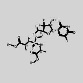 CC(C)OC(=O)[C@H](C)NP(=S)(N[C@@H](C)C(=O)OC(C)C)OC[C@@]1(C(F)F)O[C@@H](n2cc(F)c(=O)[nH]c2=O)[C@H](O)C1(F)F